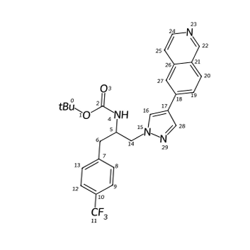 CC(C)(C)OC(=O)NC(Cc1ccc(C(F)(F)F)cc1)Cn1cc(-c2ccc3cnccc3c2)cn1